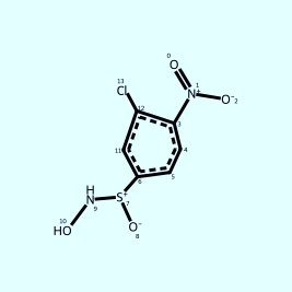 O=[N+]([O-])c1ccc([S+]([O-])NO)cc1Cl